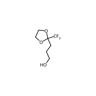 OCCCC1(C(F)(F)F)OCCO1